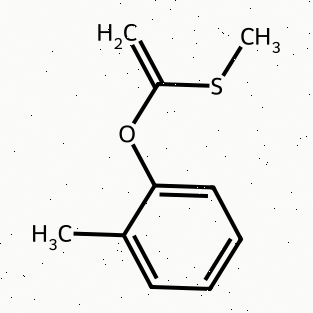 C=C(Oc1ccccc1C)SC